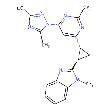 Cc1nc(C)n(-c2cc([C@@H]3C[C@H]3c3nc4ccccc4n3C)nc(C(F)(F)F)n2)n1